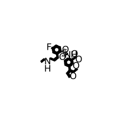 CCNC/C=C\c1cc(F)ccc1S(=O)(=O)Nc1ccc2c(c1C(=O)OC)OCc1occc1-2